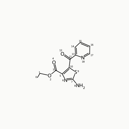 CCOC(=O)c1nc(N)sc1C(=O)c1ccccn1